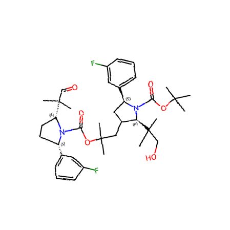 CC(C)(C)OC(=O)N1[C@H](c2cccc(F)c2)CC(CC(C)(C)OC(=O)N2[C@H](c3cccc(F)c3)CC[C@@H]2C(C)(C)C=O)[C@@H]1C(C)(C)CO